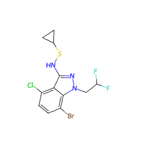 FC(F)Cn1nc(NSC2CC2)c2c(Cl)ccc(Br)c21